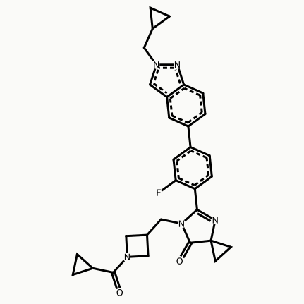 O=C(C1CC1)N1CC(CN2C(=O)C3(CC3)N=C2c2ccc(-c3ccc4nn(CC5CC5)cc4c3)cc2F)C1